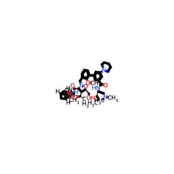 CCC[C@@H](CN(C)C)NC(=O)c1cc(-c2cccc(CN3O[C@@H](CO)[C@@H]([C@H](C)O)[C@H]3C(=O)N[C@H]3C[C@H]4C[C@@H]([C@@H]3C)C4(C)C)c2OC)cc(N2CCCCC2)c1